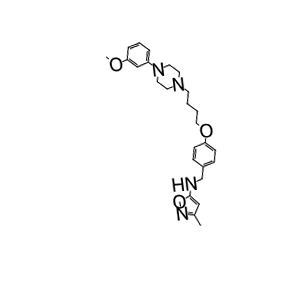 COc1cccc(N2CCN(CCCCOc3ccc(CNc4cc(C)no4)cc3)CC2)c1